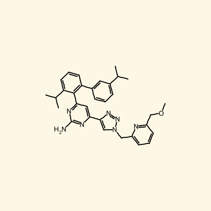 COCc1cccc(Cn2cc(-c3cc(-c4c(-c5cccc(C(C)C)c5)cccc4C(C)C)nc(N)n3)nn2)n1